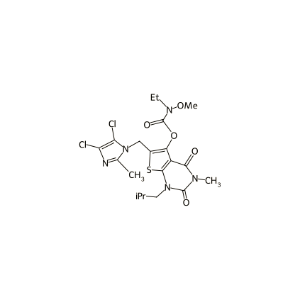 CCN(OC)C(=O)Oc1c(Cn2c(C)nc(Cl)c2Cl)sc2c1c(=O)n(C)c(=O)n2CC(C)C